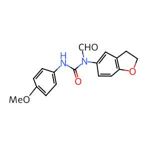 COc1ccc(NC(=O)N(C=O)c2ccc3c(c2)CCO3)cc1